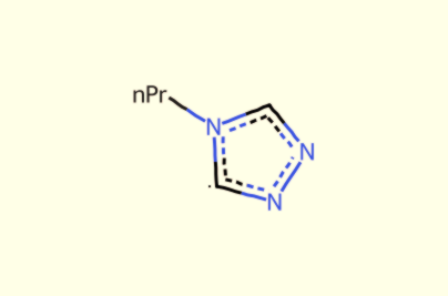 CCCn1[c]nnc1